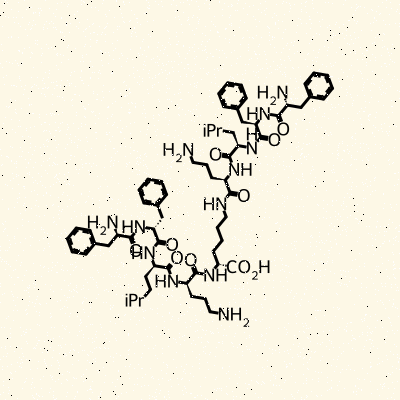 CC(C)CC[C@@H](NC(=O)[C@@H](Cc1ccccc1)NC(=O)[C@H](N)Cc1ccccc1)C(=O)N[C@H](CCCN)C(=O)N[C@H](CCCCNC(=O)[C@@H](CCCN)NC(=O)[C@@H](CC(C)C)NC(=O)[C@@H](Cc1ccccc1)NC(=O)[C@H](N)Cc1ccccc1)C(=O)O